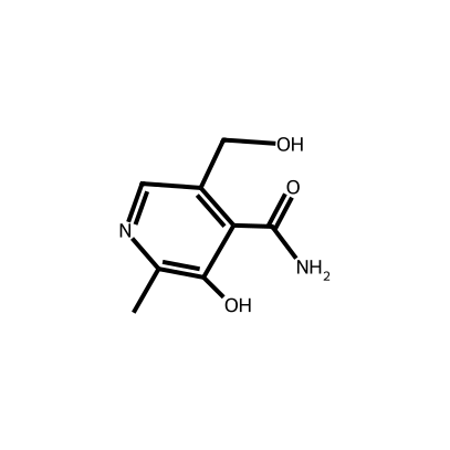 Cc1ncc(CO)c(C(N)=O)c1O